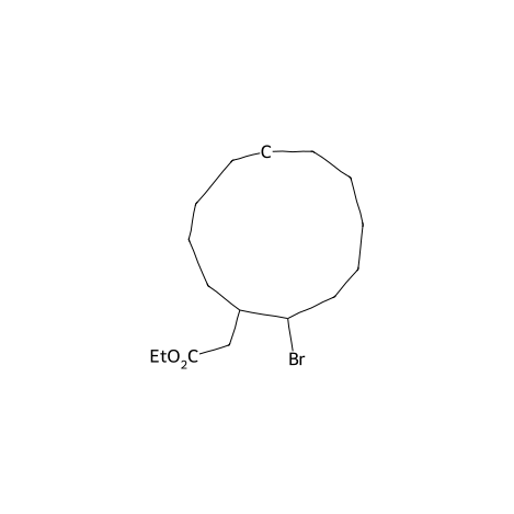 CCOC(=O)CC1CCCCCCCCCCC1Br